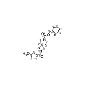 CC1CCN(C(=O)N2CC3(CCN(C(=O)OCc4ccccc4)CC3)C2)C1